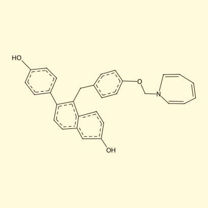 Oc1ccc(-c2ccc3cc(O)ccc3c2Cc2ccc(OCN3C=CC=CC=C3)cc2)cc1